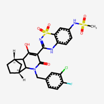 CS(=O)(=O)Nc1ccc2c(c1)S(=O)(=O)N=C(C1=C(O)C3C([C@@H]4CC[C@H]3C4)N(Cc3ccc(F)c(Cl)c3)C1=O)N2